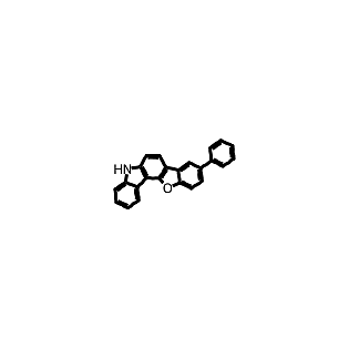 c1ccc(-c2ccc3oc4c(ccc5[nH]c6ccccc6c54)c3c2)cc1